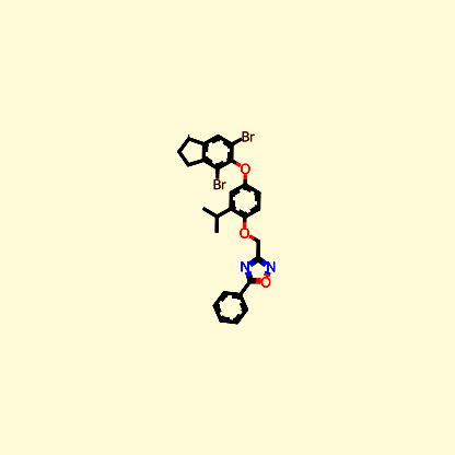 CC(C)c1cc(Oc2c(Br)cc3c(c2Br)CC[CH]3)ccc1OCc1noc(-c2ccccc2)n1